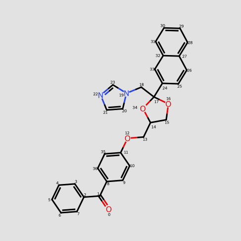 O=C(c1ccccc1)c1ccc(OCC2COC(Cn3ccnc3)(c3ccc4ccccc4c3)O2)cc1